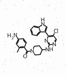 Cc1cc(N)ccc1C(=O)N1CCC(Nc2ncc(Cl)c(-c3c[nH]c4ccccc34)n2)CC1